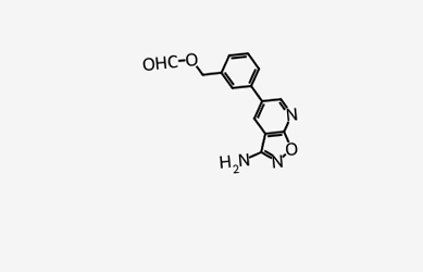 Nc1noc2ncc(-c3cccc(COC=O)c3)cc12